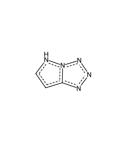 c1cc2nnnn2[nH]1